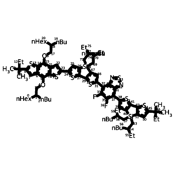 CCCCCCC(CCCC)COc1c2cc(C(C)(C)CC)sc2c(OCC(CCCC)CCCCCC)c2cc(-c3cc4c(s3)-c3sc(-c5c(F)c(F)c(-c6cc7c(s6)-c6sc(C(C)(C)CC)cc6[Si]7(CC(CC)CCCC)CC(CC)CCCC)c6nsnc56)cc3[Si]4(CC(CC)CCCC)CC(CC)CCCC)sc12